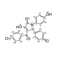 O=C(C1=C(O)C(=O)N(c2ccc(O)cc2)C1c1ccc(Cl)cc1)c1ccc(Cl)cc1